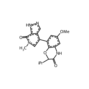 COc1cc2c(c(-c3cn(C)c(=O)c4[nH]ncc34)c1)OC(C(C)C)C(=O)N2